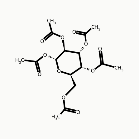 CC(=O)OC[C@H]1O[C@H](OC(C)=O)[C@@H](OC(C)=O)[C@H](OC(C)=O)[C@@H]1OC(C)=O